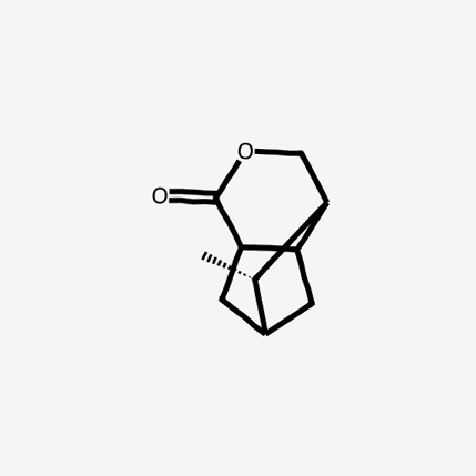 C[C@H]1C2CC3C(=O)OCC1C3C2